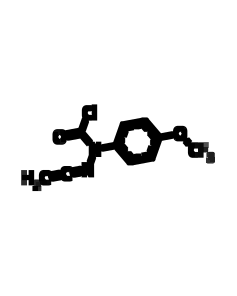 C=C=NN(C(=O)Cl)c1ccc(OC(F)(F)F)cc1